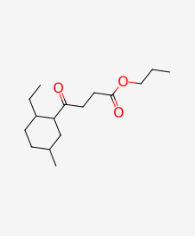 CCCOC(=O)CCC(=O)C1CC(C)CCC1CC